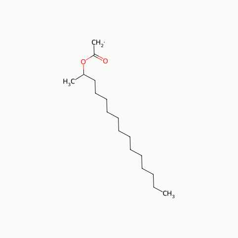 [CH2]C(=O)OC(C)CCCCCCCCCCCCC